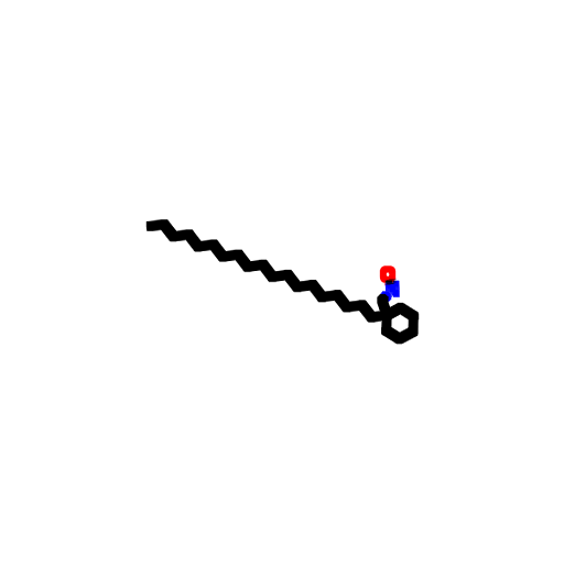 CCCCCCCCCCCCCCCCCCCC1(CN=O)CCCCC1